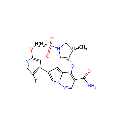 COc1cc(-c2cc3c(N[C@@H]4CN(S(C)(=O)=O)C[C@H]4C)c(C(N)=O)cnn3c2)c(F)cn1